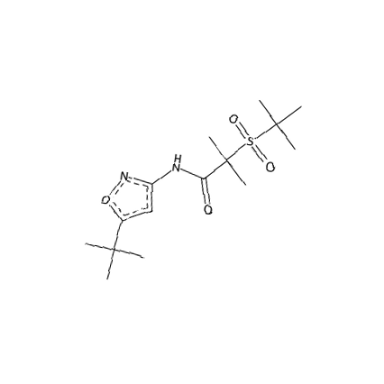 CC(C)(C)c1cc(NC(=O)C(C)(C)S(=O)(=O)C(C)(C)C)no1